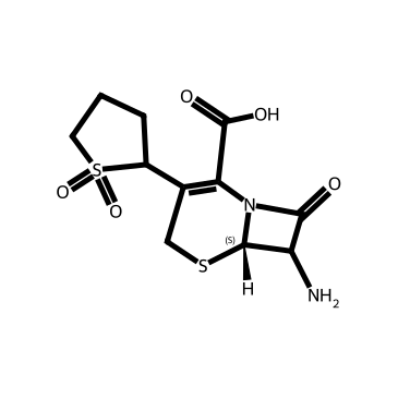 NC1C(=O)N2C(C(=O)O)=C(C3CCCS3(=O)=O)CS[C@@H]12